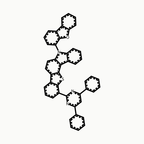 c1ccc(-c2cc(-c3ccccc3)nc(-c3cccc4c3sc3c4ccc4c3c3ccccc3n4-c3cccc4c3oc3ccccc34)n2)cc1